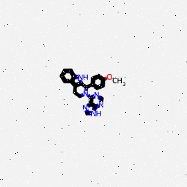 COc1ccc(C2c3[nH]c4ccccc4c3CCN2c2ncnc3[nH]cnc23)cc1